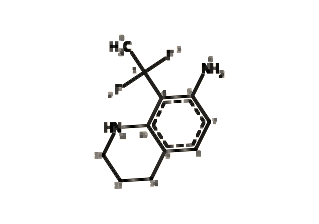 CC(F)(F)c1c(N)ccc2c1NCCC2